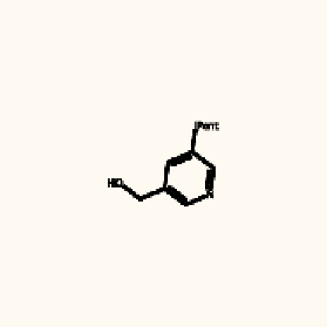 CCCC(C)c1cncc(CO)c1